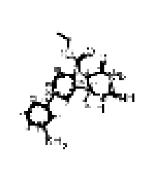 CCOC(=O)C[C@@H]1C(=O)N(C)C(=N)N[C@]1(C)c1cccc(-c2cccc(N)c2)c1